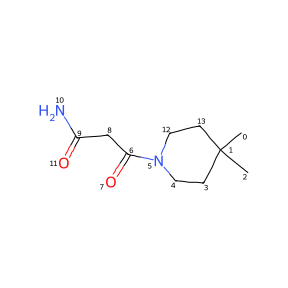 CC1(C)CCN(C(=O)CC(N)=O)CC1